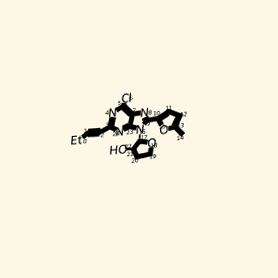 CCC#Cc1nc(Cl)c2nc(-c3ccc(C)o3)n([C@@H]3OCC[C@H]3O)c2n1